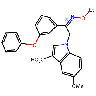 CCO/N=C(\Cn1cc(C(=O)O)c2cc(OC)ccc21)c1cccc(Oc2ccccc2)c1